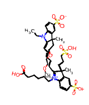 CCN1/C(=C/C=C/C=C/C2=[N+](CCCCCC(=O)O)c3ccc(S(=O)(=O)O)cc3C2(C)CCCS(=O)(=O)O)C(C)(CCOCCOC)c2cc(S(=O)(=O)[O-])ccc21